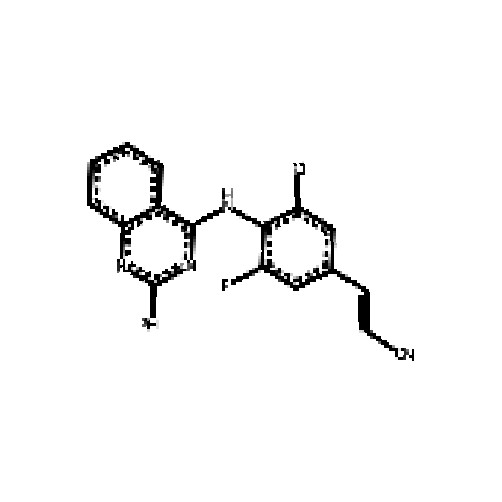 [2H]c1nc(Nc2c(F)cc(C=CC#N)cc2Cl)c2ccccc2n1